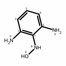 Nc1cccc(N)c1NO